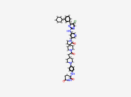 O=C1CCC(Nc2ccc(N3CCC(CC(=O)N4CCC5(CC4)CCN(c4cncc(Nc6ncc(Cl)c(-c7cccc(C8CCCCC8)c7)n6)c4)C5=O)CC3)cc2)C(=O)N1